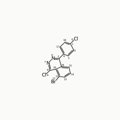 Clc1ccc(-c2nnc(Cl)c3c(Br)cccc23)cc1